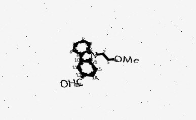 COCCn1c2ccccc2c2cc(C=O)ccc21